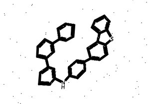 c1ccc(-c2cccc(-c3cccc(Nc4ccc(-c5ccc6sc7ccccc7c6c5)cc4)c3)c2)cc1